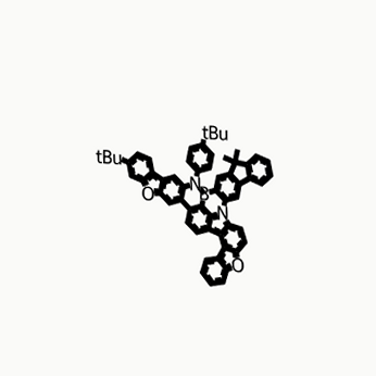 CC(C)(C)c1ccc(N2B3c4cc5c(cc4-n4c6ccc7oc8ccccc8c7c6c6ccc(c3c64)-c3cc4oc6cc(C(C)(C)C)ccc6c4cc32)-c2ccccc2C5(C)C)cc1